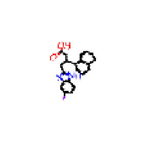 O=C(O)CC(Cc1nc2cc(I)ccc2[nH]1)c1cccc2ccccc12